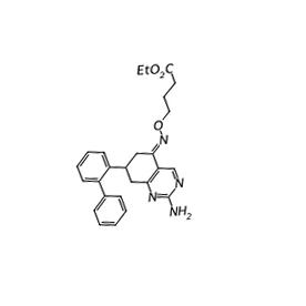 CCOC(=O)CCCO/N=C1\CC(c2ccccc2-c2ccccc2)Cc2nc(N)ncc21